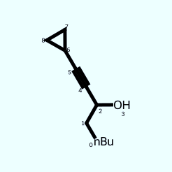 CCCCCC(O)C#CC1CC1